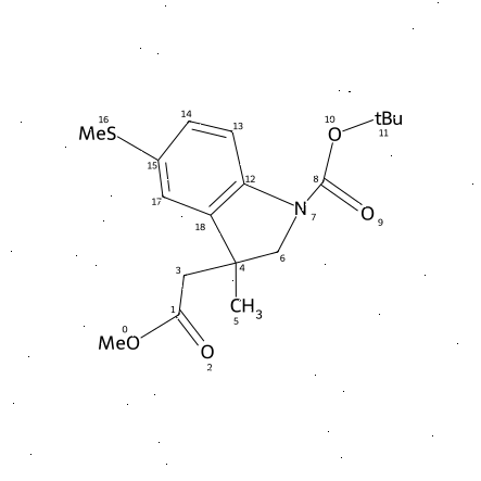 COC(=O)CC1(C)CN(C(=O)OC(C)(C)C)c2ccc(SC)cc21